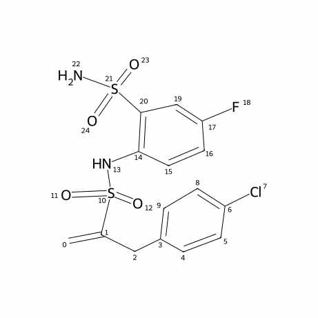 C=C(Cc1ccc(Cl)cc1)S(=O)(=O)Nc1ccc(F)cc1S(N)(=O)=O